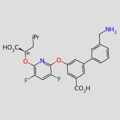 CC(C)C[C@@H](Oc1nc(Oc2cc(C(=O)O)cc(-c3cccc(CN)c3)c2)c(F)cc1F)C(=O)O